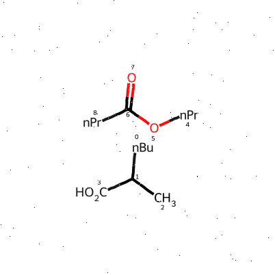 CCCCC(C)C(=O)O.CCCOC(=O)CCC